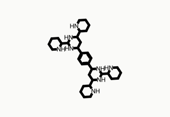 c1cc(C2CC(C3CCCCN3)NC(C3CCCCN3)N2)ccc1C1CC(C2CCCCN2)NC(C2CCCCN2)N1